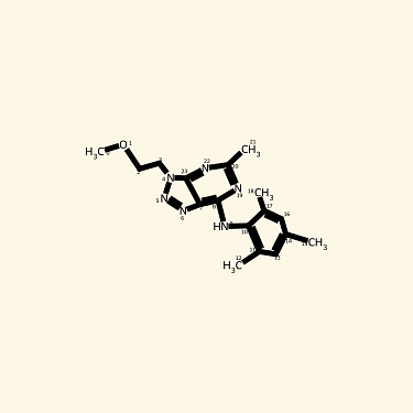 COCCn1nnc2c(Nc3c(C)cc(C)cc3C)nc(C)nc21